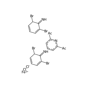 CC(=O)c1cccc(C(C)=O)n1.N=C1C(Br)=CC=CC1Br.N=C1C(Br)=CC=CC1Br.[Cl-].[Cl-].[Fe+2]